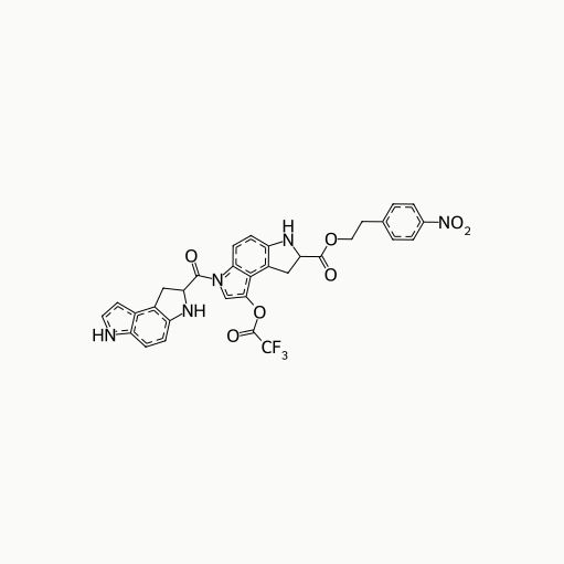 O=C(OCCc1ccc([N+](=O)[O-])cc1)C1Cc2c(ccc3c2c(OC(=O)C(F)(F)F)cn3C(=O)C2Cc3c(ccc4[nH]ccc34)N2)N1